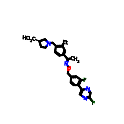 CCc1cc(/C(C)=N/OCc2ccc(-c3cnc(F)cn3)c(F)c2)ccc1CN1CC[C@H](C(=O)O)C1